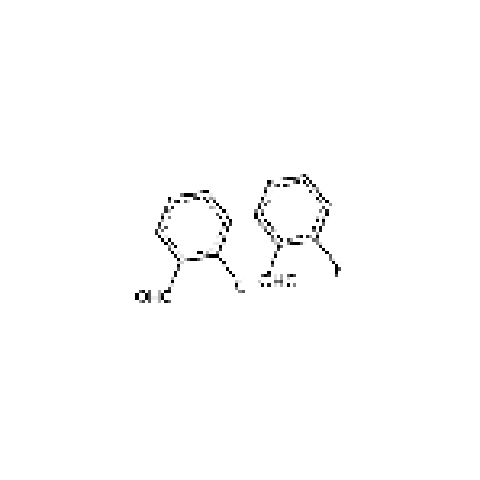 O=Cc1ccccc1Cl.O=Cc1ccccc1F